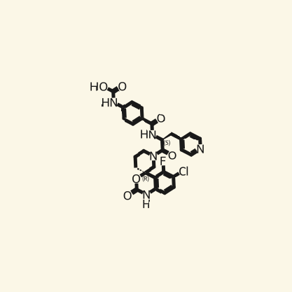 O=C(O)Nc1ccc(C(=O)N[C@@H](Cc2ccncc2)C(=O)N2CCC[C@@]3(C2)OC(=O)Nc2ccc(Cl)c(F)c23)cc1